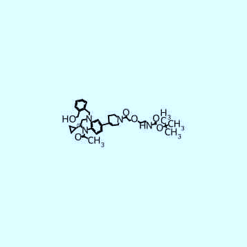 CC(=O)N1c2ccc(C3=CCN(C(=O)COCCNC(=O)OC(C)(C)C)CC3)cc2N(Cc2ccccc2CO)C[C@@H]1C1CC1